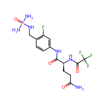 NC(=O)CC[C@H](NC(=O)C(F)(F)F)C(=O)Nc1ccc(CNP(N)(N)=O)c(F)c1